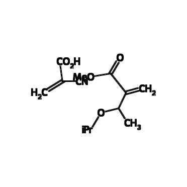 C=C(C#N)C(=O)O.C=C(C(=O)OC)C(C)OC(C)C